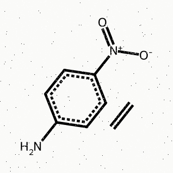 C=C.Nc1ccc([N+](=O)[O-])cc1